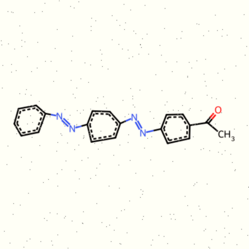 CC(=O)c1ccc(N=Nc2ccc(N=Nc3ccccc3)cc2)cc1